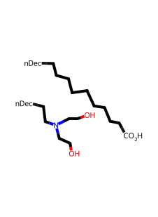 CCCCCCCCCCCCCCCCCCCC(=O)O.CCCCCCCCCCCCN(CCO)CCO